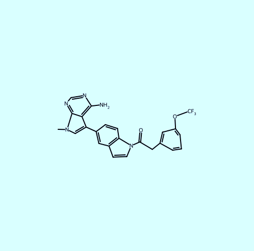 Cn1cc(-c2ccc3c(ccn3C(=O)Cc3cccc(OC(F)(F)F)c3)c2)c2c(N)ncnc21